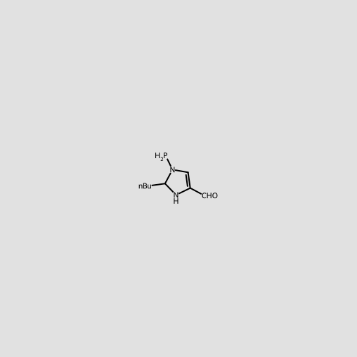 CCCCC1NC(C=O)=CN1P